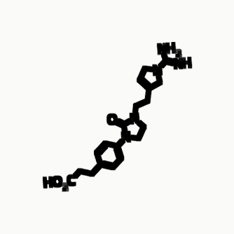 N=C(N)N1CC=C(CCN2CCN(c3ccc(CCC(=O)O)cc3)C2=O)C1